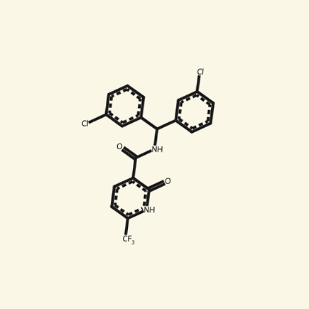 O=C(NC(c1cccc(Cl)c1)c1cccc(Cl)c1)c1ccc(C(F)(F)F)[nH]c1=O